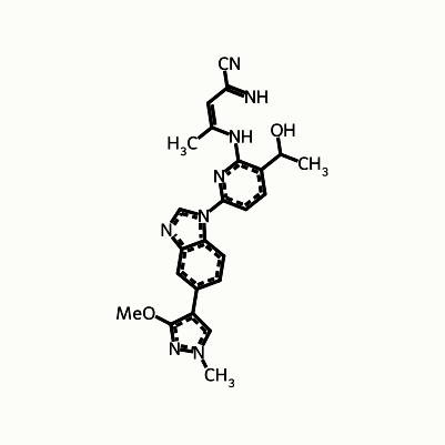 COc1nn(C)cc1-c1ccc2c(c1)ncn2-c1ccc(C(C)O)c(N/C(C)=C\C(=N)C#N)n1